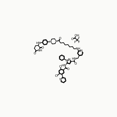 O=C(O)C(F)(F)F.O=C1CCC(Nc2ccc(N3CCN(C(=O)CCCCCCCNc4cc(CNC(=O)c5cc(NC(=O)c6cc(-c7ccccn7)c(Cl)cc6Cl)n(-c6ccccc6)n5)ccn4)CC3)cc2)C(=O)N1